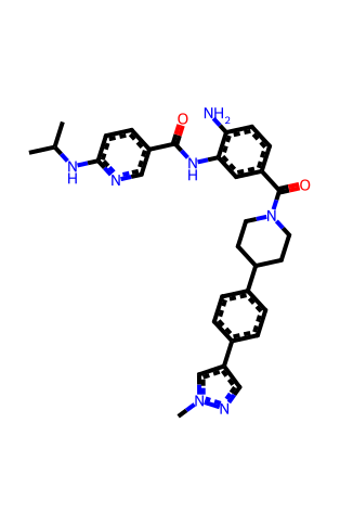 CC(C)Nc1ccc(C(=O)Nc2cc(C(=O)N3CCC(c4ccc(-c5cnn(C)c5)cc4)CC3)ccc2N)cn1